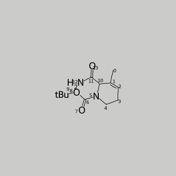 CC1=CCCN(C(=O)OC(C)(C)C)C1C(N)=O